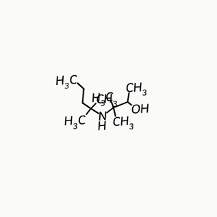 CCCC(C)(C)NC(C)(C)C(C)O